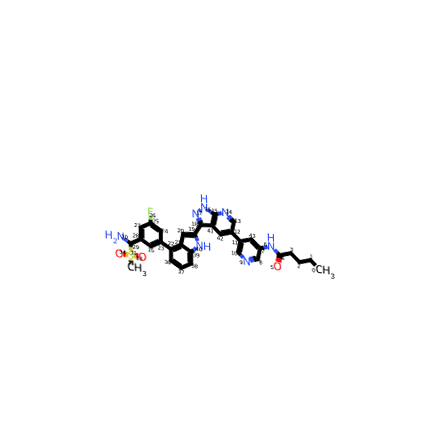 CCCCC(=O)Nc1cncc(-c2cnc3[nH]nc(-c4cc5c(-c6cc(F)cc(C(N)S(C)(=O)=O)c6)cccc5[nH]4)c3c2)c1